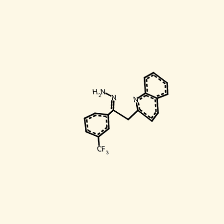 NN=C(Cc1ccc2ccccc2n1)c1cccc(C(F)(F)F)c1